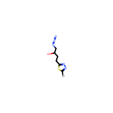 [CH2]Cc1nnc(CCC(O)CN=[N+]=[N-])s1